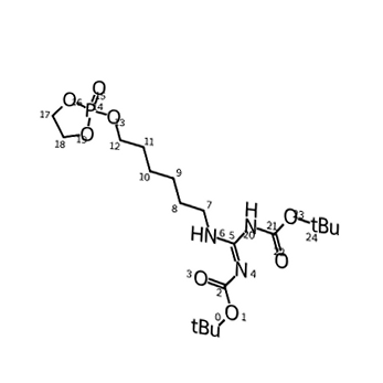 CC(C)(C)OC(=O)/N=C(\NCCCCCCOP1(=O)OCCO1)NC(=O)OC(C)(C)C